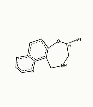 CC[C@@H]1CNCc2c(ccc3cccnc23)O1